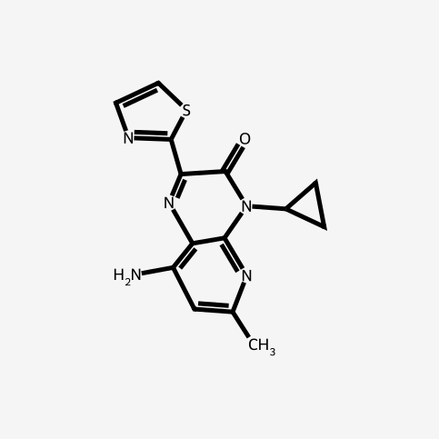 Cc1cc(N)c2nc(-c3nccs3)c(=O)n(C3CC3)c2n1